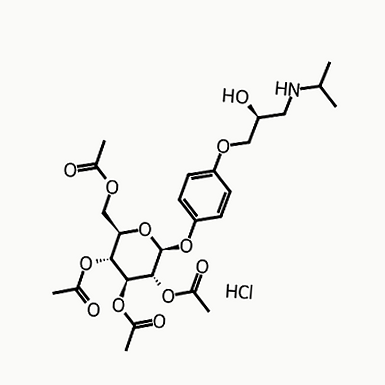 CC(=O)OC[C@H]1O[C@@H](Oc2ccc(OC[C@@H](O)CNC(C)C)cc2)[C@H](OC(C)=O)[C@@H](OC(C)=O)[C@@H]1OC(C)=O.Cl